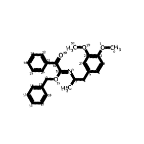 COc1ccc(CC(C)N=C(OCc2ccccc2)C(=O)c2ccccc2)cc1OC